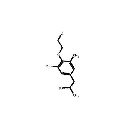 Cc1cc(CC(C)O)cc(C#N)c1OCCCl